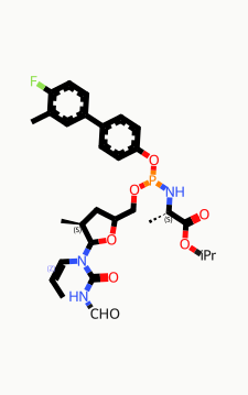 C/C=C\N(C(=O)NC=O)C1OC(COP(N[C@@H](C)C(=O)OC(C)C)Oc2ccc(-c3ccc(F)c(C)c3)cc2)C[C@@H]1C